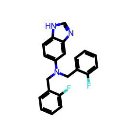 Fc1ccccc1CN(Cc1ccccc1F)c1ccc2[nH]cnc2c1